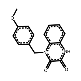 COc1ccc(Cn2c(=O)c(=O)[nH]c3ccccc32)cc1